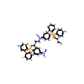 CCCC[PH](c1ccccc1)(c1ccccc1)c1ccc(N(C)CCCC[PH](c2ccccc2)(c2ccccc2)c2ccc(N(C)C)cc2)cc1